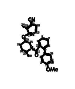 COc1ccc(-c2ccccc2C(=O)N2CC(Oc3nccc(C#N)c3C)CCC2C)cn1